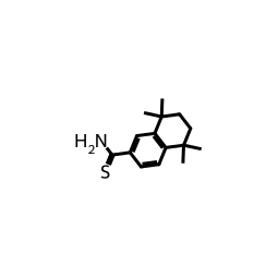 CC1(C)CCC(C)(C)c2cc(C(N)=S)ccc21